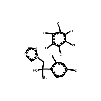 CCCCC(O)(Cn1cncn1)c1ccc(Cl)cc1Cl.Clc1c(Cl)c(Cl)c(Cl)c(Cl)c1Cl